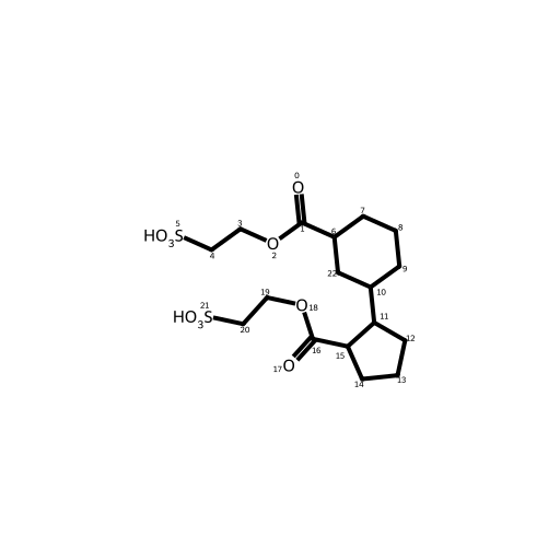 O=C(OCCS(=O)(=O)O)C1CCCC(C2CCCC2C(=O)OCCS(=O)(=O)O)C1